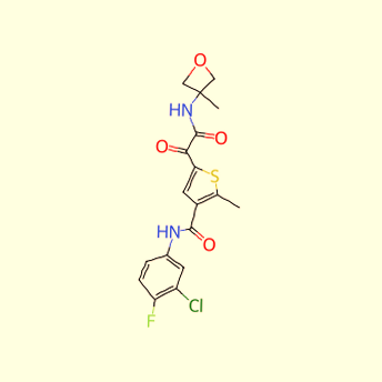 Cc1sc(C(=O)C(=O)NC2(C)COC2)cc1C(=O)Nc1ccc(F)c(Cl)c1